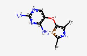 CCc1nc(CC)c(Oc2cnc(N)nc2N)s1